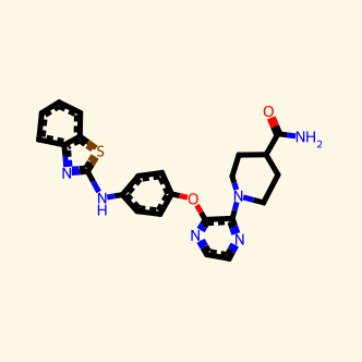 NC(=O)C1CCN(c2nccnc2Oc2ccc(Nc3nc4ccccc4s3)cc2)CC1